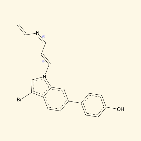 C=C/N=C\C=C\n1cc(Br)c2ccc(-c3ccc(O)cc3)cc21